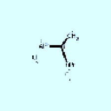 CCC[CH](C)[Al+2].[Cl-].[Cl-]